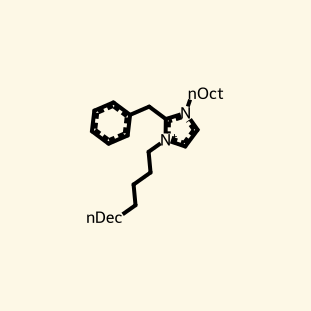 CCCCCCCCCCCCCC[n+]1ccn(CCCCCCCC)c1Cc1ccccc1